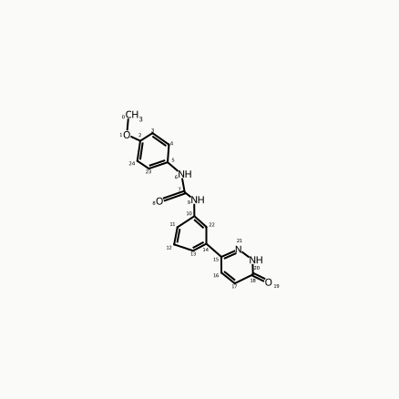 COc1ccc(NC(=O)Nc2cccc(-c3ccc(=O)[nH]n3)c2)cc1